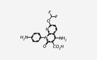 Nc1ccc(-n2c(=O)c(C(=O)O)c(N)c3ccc(OC(F)F)nc32)cc1